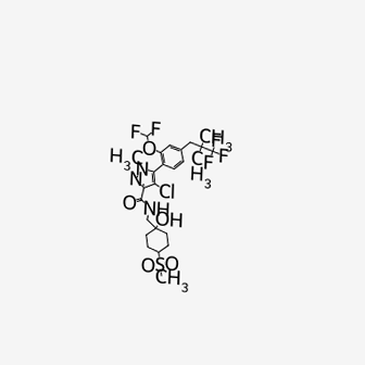 Cn1nc(C(=O)NCC2(O)CCC(S(C)(=O)=O)CC2)c(Cl)c1-c1ccc(CC(C)(C)C(F)(F)F)cc1OC(F)F